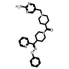 Nc1ncc(CN2CCC(C(=O)N3CCC(/C(=N/Oc4ccccc4)c4ccccn4)CC3)CC2)cn1